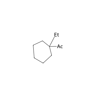 CCC1(C(C)=O)CCCCC1